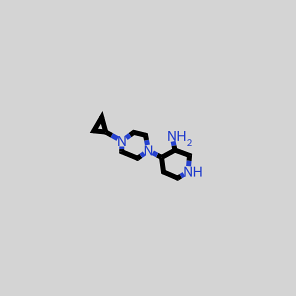 NC1CNCCC1N1CCN(C2CC2)CC1